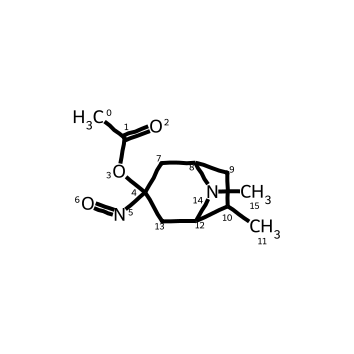 CC(=O)OC1(N=O)CC2CC(C)C(C1)N2C